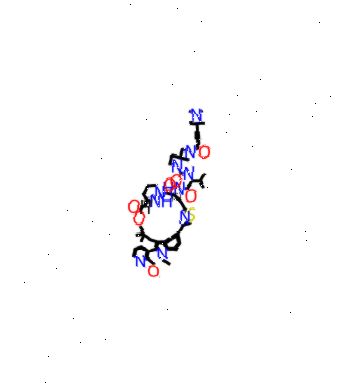 CCn1c(-c2cccnc2COC)c2c3cc(ccc31)-c1csc(n1)C[C@H](NC(=O)C(C(C)C)N(C)C(=O)N1CCC13CN(C(=O)C#CC(C)(C)N(C)C)C3)C(=O)N1CCC[C@H](N1)C(=O)OCC(C)(C)C2